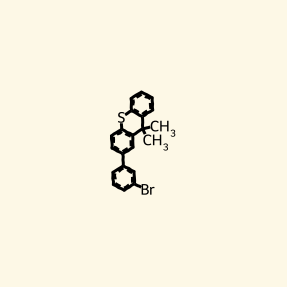 CC1(C)c2ccccc2Sc2ccc(-c3cccc(Br)c3)cc21